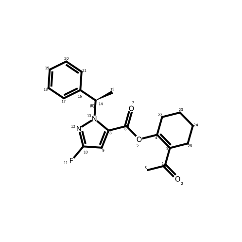 CC(=O)C1=C(OC(=O)c2cc(F)nn2[C@H](C)c2ccccc2)CCCC1